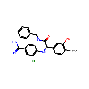 COc1ccc([C@@H](Nc2ccc(C(=N)N)cc2)C(=O)NCc2ccccc2)cc1O.Cl